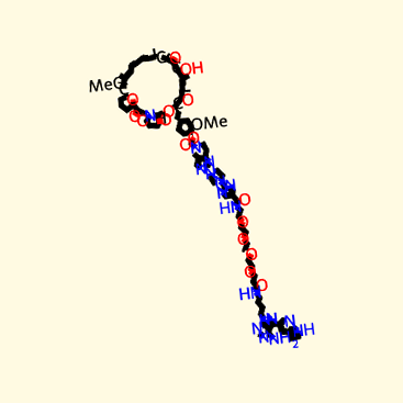 CO[C@H]1CC2CCCC(O2)C(=O)C(=O)N2CCCC[C@H]2C(=O)O[C@H](CC[C@@H]2CC[C@@H](OC(=O)N3CCc4nc(N5CCN(c6ncc(C(=O)NCCOCCOCCOCCOCCC(=O)NCCCCn7nc(-c8cnc9[nH]ccc9c8)c8c(N)ncnc87)cn6)CC5)ncc4C3)[C@H](OC)C2)CC(=O)[C@H](C)/C=C(\C)[C@@H](O)CC(=O)[C@H](C)C[C@H](C)/C=C/C=C/C=C/1C